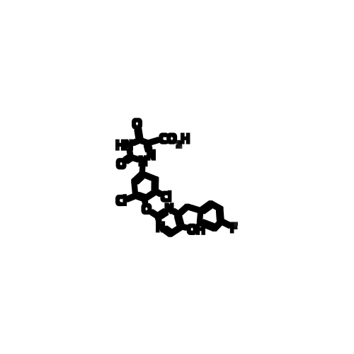 O=C(O)c1nn(-c2cc(Cl)c(Oc3ncc(O)c(Cc4ccc(F)cc4)n3)c(Cl)c2)c(=O)[nH]c1=O